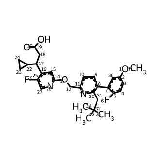 COc1ccc(F)c(-c2ccc(COc3cc(C(CC(=O)O)C4CC4)c(F)cn3)nc2CC(C)(C)C)c1